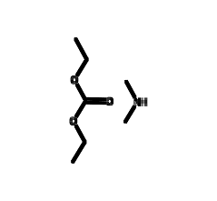 CCOC(=O)OCC.CNC